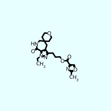 CCn1nc(CCCOC(=O)c2coc(C)n2)c2c1C(=O)NCC1(CCOCC1)C2